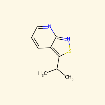 CC(C)c1snc2ncccc12